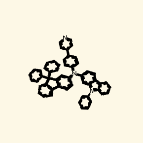 c1ccc(-n2c3ccccc3c3ccc(N(c4ccc(-c5ccncc5)cc4)c4ccc5c(c4)C(c4ccccc4)(c4ccccc4)c4ccccc4-5)cc32)cc1